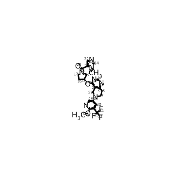 COc1ncc(N2CCc3ncnc(OC4CCN(C(=O)c5cncn5C)C4)c3C2)cc1C(F)(F)F